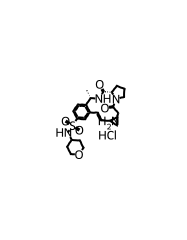 C[C@H](NC(=O)[C@@H]1CCCN1C(=O)CN)c1ccc(S(=O)(=O)NC2CCOCC2)cc1/C=C/C1CC1.Cl